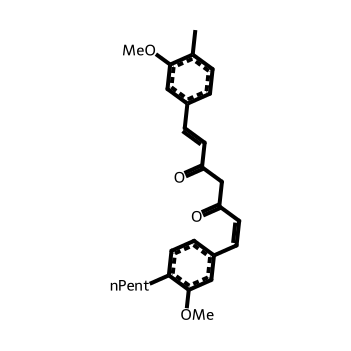 CCCCCc1ccc(/C=C\C(=O)CC(=O)/C=C/c2ccc(C)c(OC)c2)cc1OC